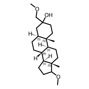 COCC1(O)CC[C@@]2(C)[C@@H](CC[C@@H]3[C@@H]2CC[C@]2(C)C(OC)CC[C@@H]32)C1